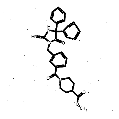 COC(=O)C1CCN(C(=O)c2cccc(CN3C(=N)NC(c4ccccc4)(c4ccccc4)C3=O)c2)CC1